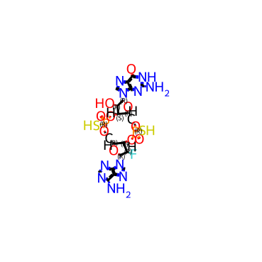 Nc1nc2c(ncn2[C@@H]2O[C@@H]3CO[P@@](=O)(S)O[C@H]4[C@@H](F)[C@H](n5cnc6c(N)ncnc65)O[C@@H]4CO[P@@](=O)(S)O[C@H]3[C@H]2O)c(=O)[nH]1